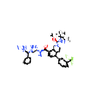 CC(C)(C)NC(=O)N1CCc2c(-c3cccc(C(F)(F)F)c3)ccc(C(=O)NCCN(N)/C(=C\N)c3ccccc3)c2C1